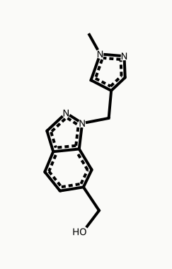 Cn1cc(Cn2ncc3ccc(CO)cc32)cn1